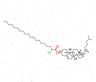 CCCCCCCCCCCCCCCCCCC(Cl)C(=O)O[C@H]1CC[C@@]2(C)C(=CC[C@H]3[C@@H]4CC[C@H]([C@H](C)CCCC(C)C)[C@@]4(C)CC[C@@H]32)C1